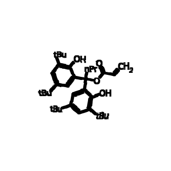 C=CC(=O)OC(CCC)(c1cc(C(C)(C)C)cc(C(C)(C)C)c1O)c1cc(C(C)(C)C)cc(C(C)(C)C)c1O